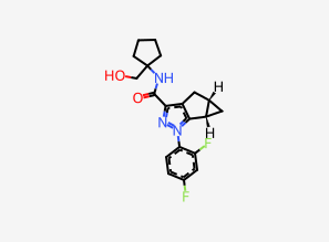 O=C(NC1(CO)CCCC1)c1nn(-c2ccc(F)cc2F)c2c1C[C@@H]1C[C@H]21